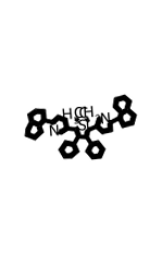 CC[Si]1(CC)C(c2ccc(-c3cccc4ccccc34)nc2)=C(c2ccccc2)C(c2ccccc2)=C1c1ccc(-c2cccc3ccccc23)nc1